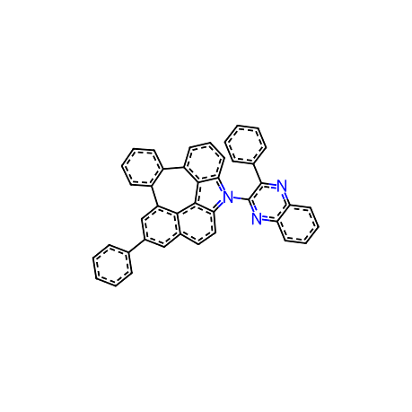 c1ccc(-c2cc3c4c(ccc5c4c4c(cccc4n5-c4nc5ccccc5nc4-c4ccccc4)-c4ccccc4-3)c2)cc1